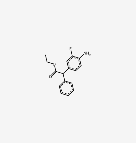 CCOC(=O)C(c1ccccc1)c1ccc(N)c(F)c1